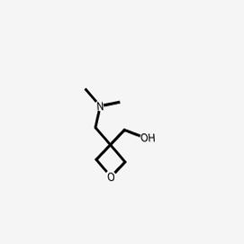 CN(C)CC1(CO)COC1